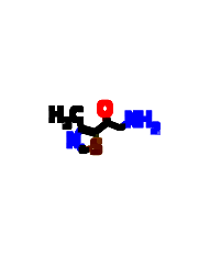 Cc1ncsc1C(=O)CN